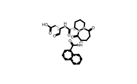 O=C[C@H](CC(=O)O)NC(=O)[C@@H]1CCCN2C(=O)CC[C@H](NC(=O)c3cccc4ccccc34)C(=O)N12